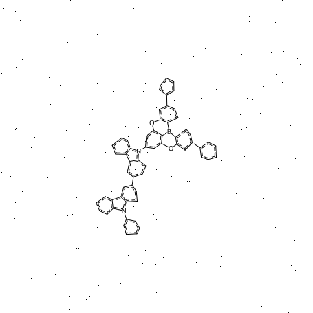 c1ccc(-c2ccc3c(c2)Oc2cc(-n4c5ccccc5c5cc(-c6ccc7c(c6)c6ccccc6n7-c6ccccc6)ccc54)cc4c2B3c2ccc(-c3ccccc3)cc2O4)cc1